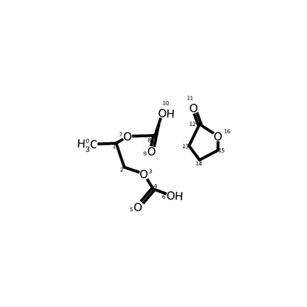 CC(COC(=O)O)OC(=O)O.O=C1CCCO1